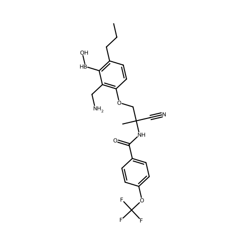 CCCc1ccc(OCC(C)(C#N)NC(=O)c2ccc(OC(F)(F)F)cc2)c(CN)c1BO